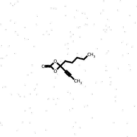 CC#CC1(CCCCC)OC(=O)O1